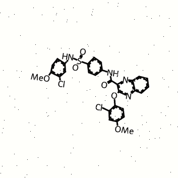 COc1ccc(Oc2nc3ccccc3nc2C(=O)Nc2ccc(S(=O)(=O)Nc3ccc(OC)c(Cl)c3)cc2)c(Cl)c1